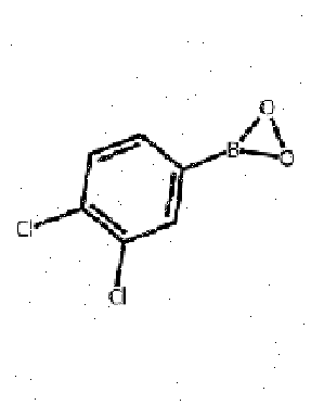 Clc1ccc(B2OO2)cc1Cl